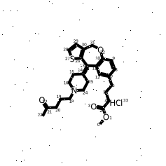 COC(=O)CCCc1ccc2c(c1)C(=C1CCN(CCCC(C)=O)CC1)c1sccc1CO2.Cl